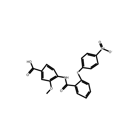 COc1cc(C(=O)O)ccc1NC(=O)c1ccccc1Sc1ccc([N+](=O)[O-])cc1